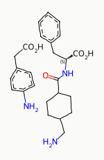 NCC1CCC(C(=O)N[C@@H](Cc2ccccc2)C(=O)O)CC1.Nc1ccc(CC(=O)O)cc1